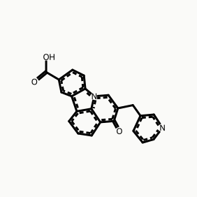 O=C(O)c1ccc2c(c1)c1cccc3c(=O)c(Cc4cccnc4)cn2c31